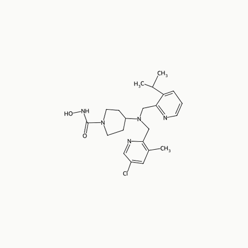 Cc1cc(Cl)cnc1CN(Cc1ncccc1C(C)C)C1CCN(C(=O)NO)CC1